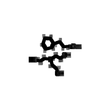 CCCCCCCCCCCCc1ccccc1.OCCN(CCO)CCO